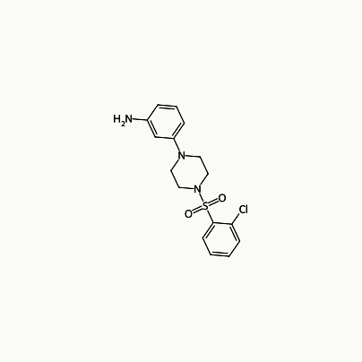 Nc1cccc(N2CCN(S(=O)(=O)c3ccccc3Cl)CC2)c1